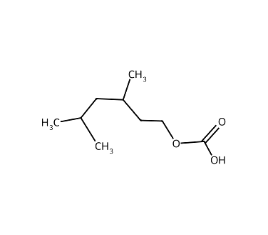 CC(C)CC(C)CCOC(=O)O